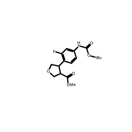 COC(=O)C1COCC1c1ccc(NC(=O)OC(C)(C)C)cc1F